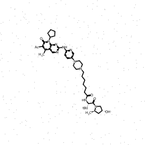 CC(=O)c1c(C)c2cnc(Nc3ccc(N4CCN(CCCCCCC(=O)N[C@H](C(=O)N5C[C@H](O)C[C@H]5C)C(C)(C)C)CC4)cn3)nc2n(C2CCCC2)c1=O